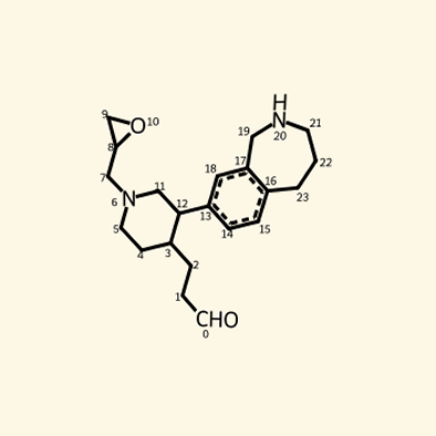 O=CCCC1CCN(CC2CO2)CC1c1ccc2c(c1)CNCCC2